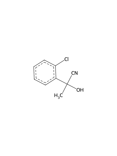 CC(O)(C#N)c1ccccc1Cl